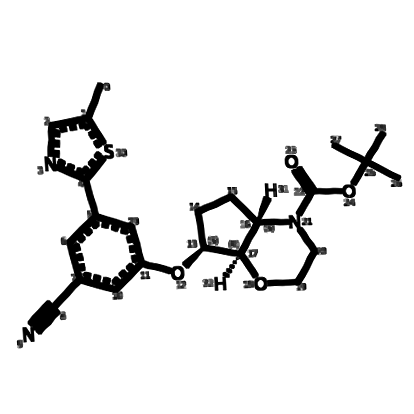 Cc1cnc(-c2cc(C#N)cc(O[C@H]3CC[C@H]4[C@H]3OCCN4C(=O)OC(C)(C)C)c2)s1